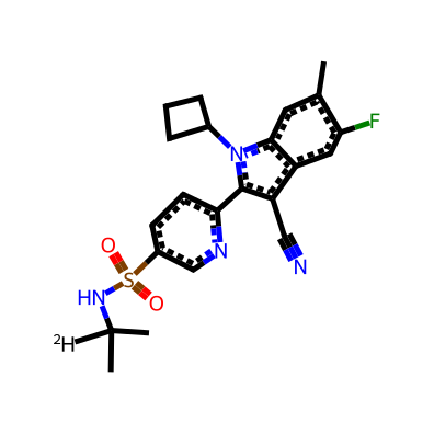 [2H]C(C)(C)NS(=O)(=O)c1ccc(-c2c(C#N)c3cc(F)c(C)cc3n2C2CCC2)nc1